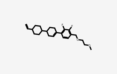 C=CC1CCC(C2CC=C(c3ccc(COCCOC)c(F)c3F)CC2)CC1